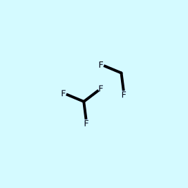 FC(F)F.FCF